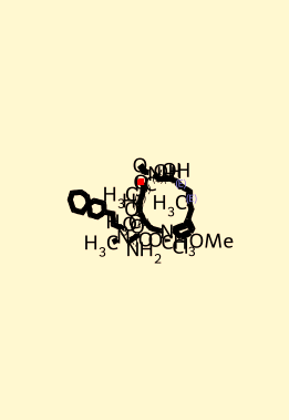 COc1cc2cc(c1Cl)N(C)C(=O)C[C@H](OC(=O)[C@H](N)N(C)C(=O)CCC1CCC3(CCCCCC3)CC1)C1(C)O[C@H]1[C@H](C)[C@@H]1C[C@@](O)(NC(=O)O1)[C@H](O)/C=C/C=C(\C)C2